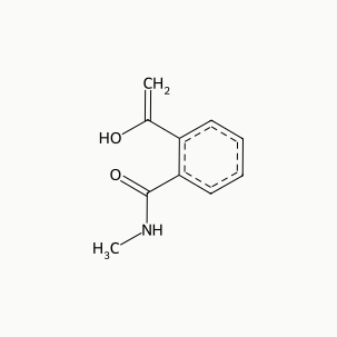 C=C(O)c1ccccc1C(=O)NC